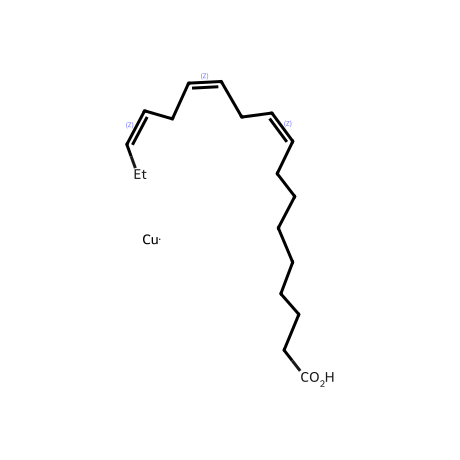 CC/C=C\C/C=C\C/C=C\CCCCCCCC(=O)O.[Cu]